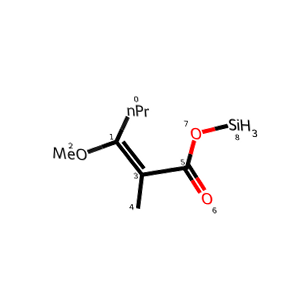 CCCC(OC)=C(C)C(=O)O[SiH3]